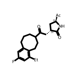 CCc1cc(F)cc2c1CCC(C(=O)C[C@@H]1C[C@@H](C(C)=O)NC1=O)CCC2